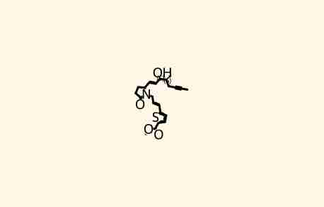 CC#CC[C@H](C)[C@H](O)C=CC1CCC(=O)N1CC=Cc1ccc(C(=O)OC)s1